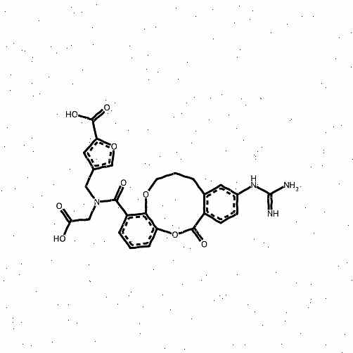 N=C(N)Nc1ccc2c(c1)CCCOc1c(cccc1C(=O)N(CC(=O)O)Cc1coc(C(=O)O)c1)OC2=O